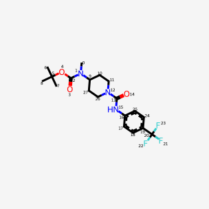 CN(C(=O)OC(C)(C)C)C1CCN(C(=O)Nc2ccc(C(F)(F)F)cc2)CC1